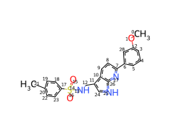 COc1cccc(-c2ccc3c(CNS(=O)(=O)c4ccc(C)cc4)c[nH]c3n2)c1